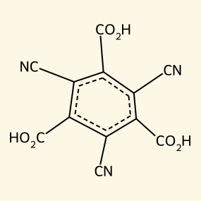 N#Cc1c(C(=O)O)c(C#N)c(C(=O)O)c(C#N)c1C(=O)O